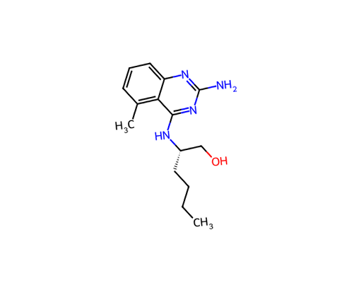 CCCC[C@@H](CO)Nc1nc(N)nc2cccc(C)c12